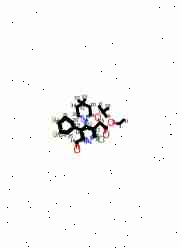 CCOC(=O)C(OC(C)(C)C)c1c(Cl)nc(C=O)c(-c2ccc(F)c(F)c2)c1N1CCC(C)(C)CC1